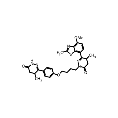 COc1ccc(C2=NN(CCCCOc3ccc(C4=NNC(=O)CC4C)cc3)C(=O)CC2C)c2sc(C(F)(F)F)nc12